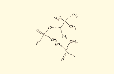 CC(OP(C)(=O)F)C(C)(C)C.CP(=O)(O)F